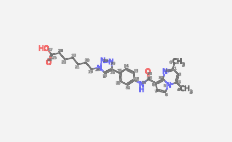 Cc1cc(C)n2ccc(C(=O)Nc3ccc(-c4cn(CCCCCCC(=O)O)nn4)cc3)c2n1